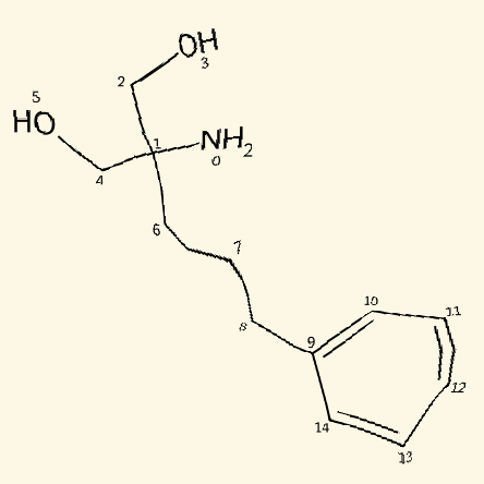 NC(CO)(CO)CCCc1ccccc1